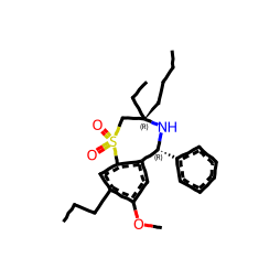 CCCC[C@]1(CC)CS(=O)(=O)c2cc(CCC)c(OC)cc2[C@@H](c2ccccc2)N1